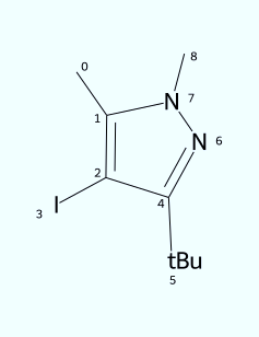 Cc1c(I)c(C(C)(C)C)nn1C